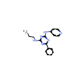 FC(F)(F)CCNc1nc(Nc2ccncc2)nc(-c2ccccc2)n1